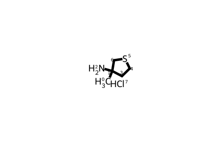 CC1(N)CCSC1.Cl